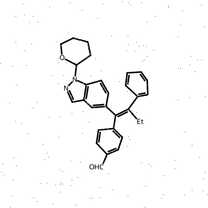 CC/C(=C(\c1ccc(C=O)cc1)c1ccc2c(cnn2C2CCCCO2)c1)c1ccccc1